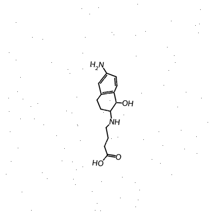 Nc1ccc2c(c1)CCC(NCCCC(=O)O)C2O